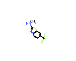 CNc1nc2ccc(C(F)(F)F)cc2s1